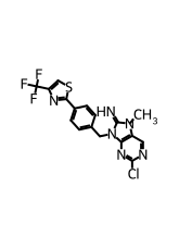 Cn1c(=N)n(Cc2ccc(-c3nc(C(F)(F)F)cs3)cc2)c2nc(Cl)ncc21